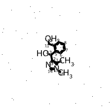 Cc1c(C(O)c2ccccc2CO)ncn1C